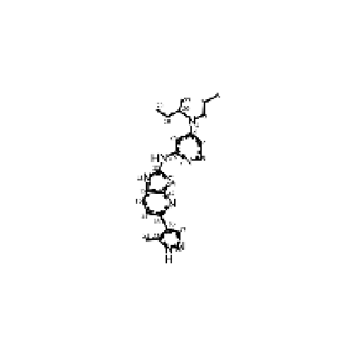 CCCN(c1ccnc(Nc2nc3ccc(-c4cn[nH]c4C)nc3s2)c1)C(C)CC